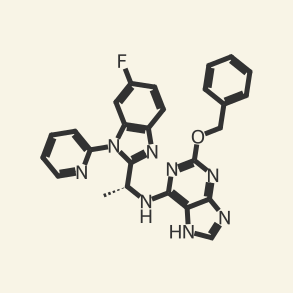 C[C@@H](Nc1nc(OCc2ccccc2)nc2nc[nH]c12)c1nc2ccc(F)cc2n1-c1ccccn1